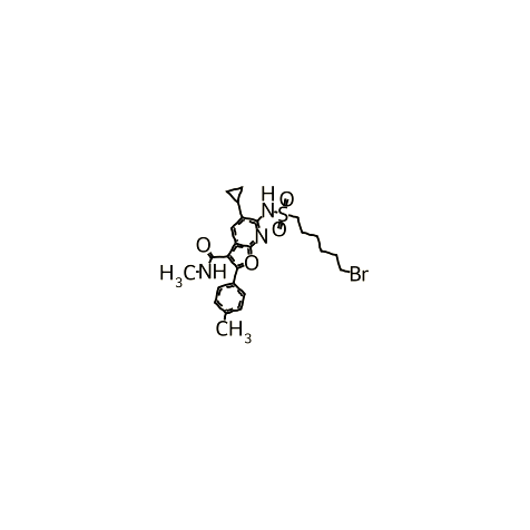 CNC(=O)c1c(-c2ccc(C)cc2)oc2nc(NS(=O)(=O)CCCCCCBr)c(C3CC3)cc12